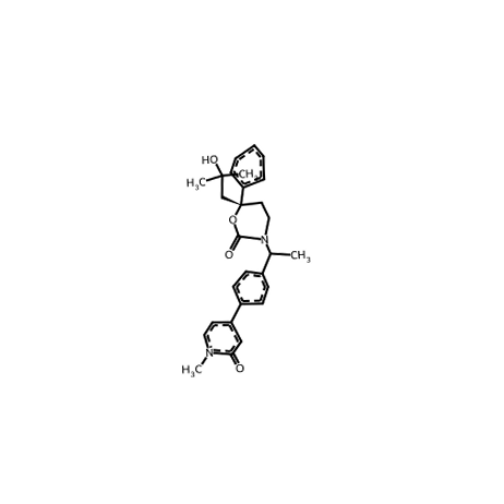 CC(c1ccc(-c2ccn(C)c(=O)c2)cc1)N1CC[C@@](CC(C)(C)O)(c2ccccc2)OC1=O